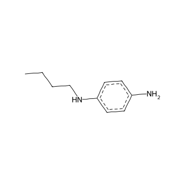 CCCCNc1ccc(N)cc1